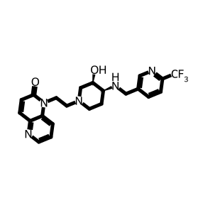 O=c1ccc2ncccc2n1CCN1CC[C@H](NCc2ccc(C(F)(F)F)nc2)[C@H](O)C1